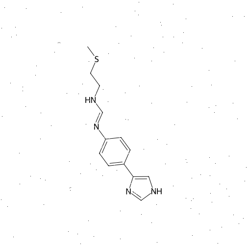 CSCCNC=Nc1ccc(-c2c[nH]cn2)cc1